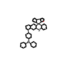 c1ccc(N(c2ccccc2)c2ccc(-c3cccc4cc5c(cc34)Sc3ccccc3C53c4ccccc4-c4ccccc43)cc2)cc1